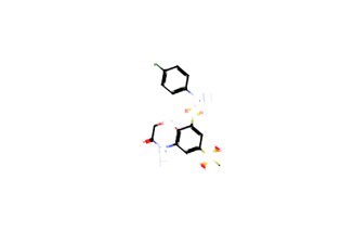 CS(=O)(=O)c1cc2c(c(S(=O)(=O)Nc3ccc(Cl)cc3)c1)OCC(=O)N2